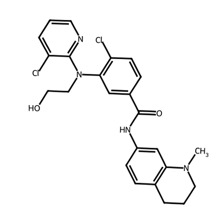 CN1CCCc2ccc(NC(=O)c3ccc(Cl)c(N(CCO)c4ncccc4Cl)c3)cc21